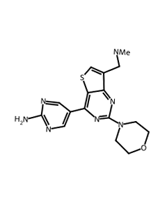 CNCc1csc2c(-c3cnc(N)nc3)nc(N3CCOCC3)nc12